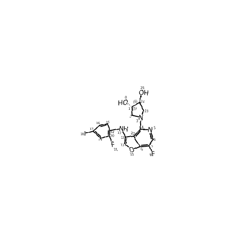 O[C@H]1CN(c2ncc(F)c3o[c]c(Nc4ccc(I)cc4F)c23)C[C@@H]1O